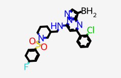 Bc1cnn2c(NCC3CCCN(S(=O)(=O)C4=CCC(F)C=C4)C3)cc(-c3ccccc3Cl)nc12